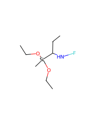 CCO[Si](C)(OCC)C(CC)NF